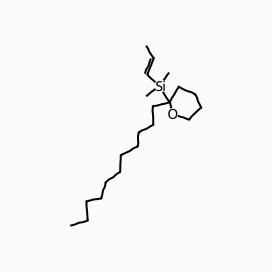 CC=C[Si](C)(C)C1(CCCCCCCCCCC)CCCCO1